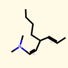 C/C=C/C(/C=C\N(C)C)CCCC